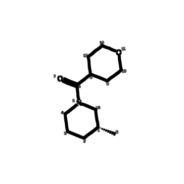 C[C@@H]1CCCN(C(=O)C2CCOCC2)C1